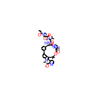 C=CC(=O)N1CC[C@@]2(C1)OCN([C@H](C(=O)N[C@H]1Cc3cccc(c3)-c3ccc4c(c3)c(c(-c3cccnc3[C@H](C)OC)n4CC)CC(C)(C)COC(=O)[C@@H]3CCCN(N3)C1=O)C(C)C)C2=O